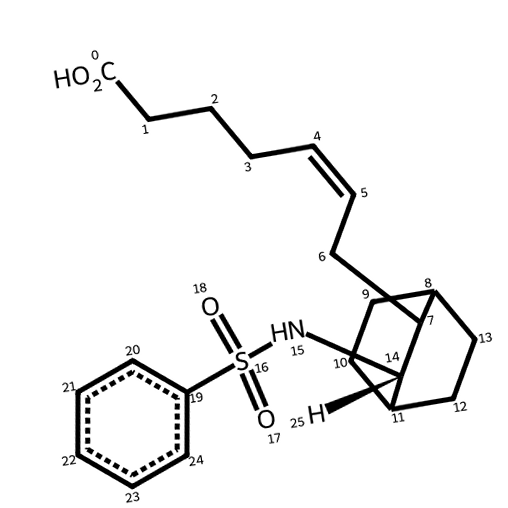 O=C(O)CCC/C=C\CC1C2CCC(CC2)[C@@H]1NS(=O)(=O)c1ccccc1